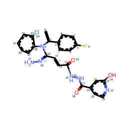 C=C(c1ccc(F)cc1)N(C(/C=C/C(=O)NNC(=O)c1ccnc(O)c1)=N\N)c1ccccc1Cl